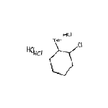 Cl.Cl.Cl.ClC1CCCCC1[Te]